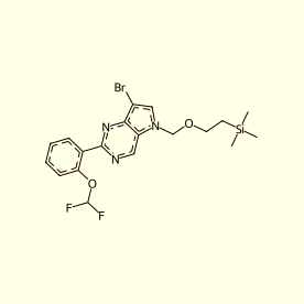 C[Si](C)(C)CCOCn1cc(Br)c2nc(-c3ccccc3OC(F)F)ncc21